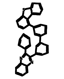 c1ccc(-c2nc3ccccc3nc2-c2cccc(-c3cccc(-c4cccc5sc6ccccc6c45)c3)c2)cc1